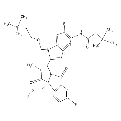 COC(=O)[C@]1(CC=O)c2ccc(F)cc2C(=O)N1Cc1cc2nc(NC(=O)OC(C)(C)C)c(F)cc2n1COCC[Si](C)(C)C